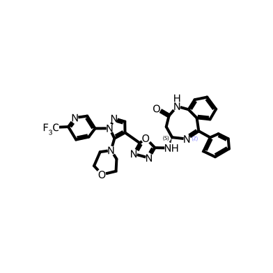 O=C1C[C@@H](Nc2nnc(-c3cnn(-c4ccc(C(F)(F)F)nc4)c3N3CCOCC3)o2)/N=C(/c2ccccc2)c2ccccc2N1